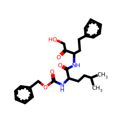 CC(C)CCC(NC(=O)OCc1ccccc1)C(=O)NC(CCc1ccccc1)C(=O)CO